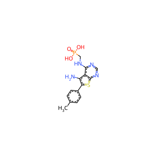 Cc1ccc(-c2sc3ncnc(NCP(=O)(O)O)c3c2N)cc1